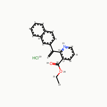 C=C(c1ccc2ccccc2c1)c1ncccc1C(=O)OCC.Cl